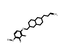 C=CCCC1CCC2CC(COc3ccc(OCC)c(F)c3F)CCC2C1